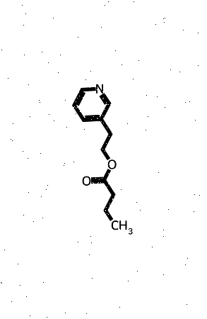 CCCC(=O)OCCc1cccnc1